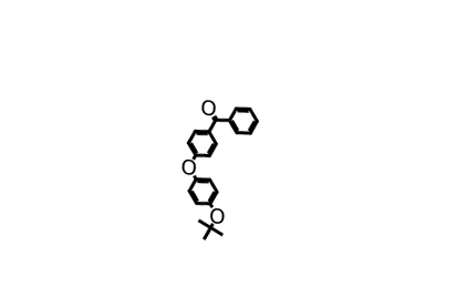 CC(C)(C)Oc1ccc(Oc2ccc(C(=O)c3ccccc3)cc2)cc1